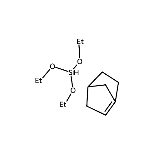 C1=C2CCC(C1)C2.CCO[SiH](OCC)OCC